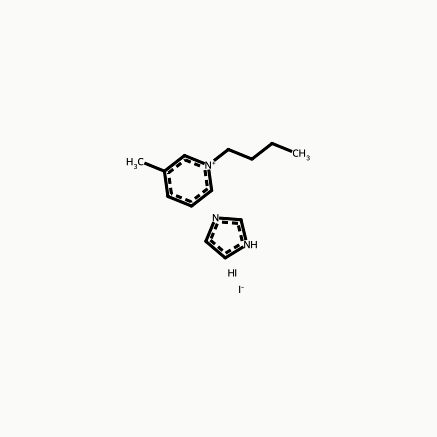 CCCC[n+]1cccc(C)c1.I.[I-].c1c[nH]cn1